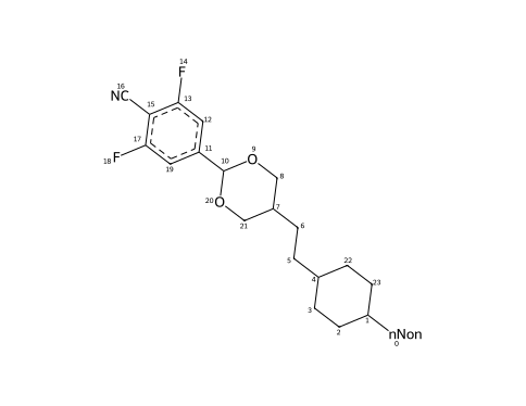 CCCCCCCCCC1CCC(CCC2COC(c3cc(F)c(C#N)c(F)c3)OC2)CC1